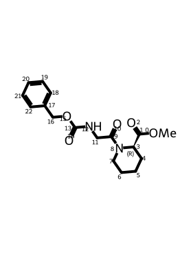 COC(=O)[C@H]1CCCCN1C(=O)CNC(=O)OCc1ccccc1